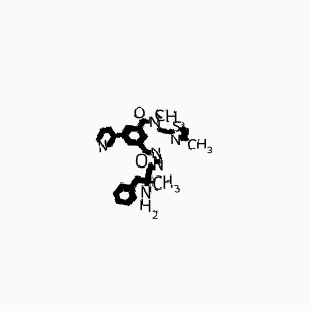 Cc1csc(CN(C)C(=O)c2cc(-c3cccnc3)cc(-c3nnc([C@](C)(N)Cc4ccccc4)o3)c2)n1